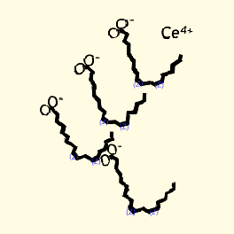 CCCCC/C=C\C/C=C\CCCCCCCC(=O)[O-].CCCCC/C=C\C/C=C\CCCCCCCC(=O)[O-].CCCCC/C=C\C/C=C\CCCCCCCC(=O)[O-].CCCCC/C=C\C/C=C\CCCCCCCC(=O)[O-].[Ce+4]